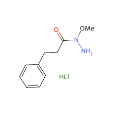 CON(N)C(=O)CCc1ccccc1.Cl